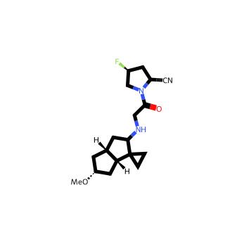 CO[C@@H]1C[C@@H]2CC(NCC(=O)N3C[C@@H](F)CC3C#N)C3(CC3)[C@@H]2C1